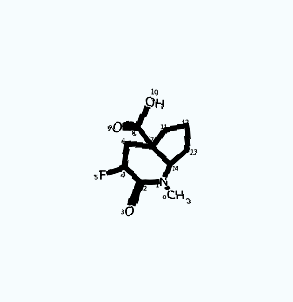 CN1C(=O)C(F)CC2(C(=O)O)CCCC12